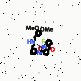 COc1ccc(CCNCCc2cccc(NC(=O)c3cccc4c(=O)c5cccc(F)c5[nH]c34)c2)cc1OC